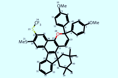 COc1ccc(C2(c3ccc(OC)cc3)C=Cc3c4c(c5cc(SC)c(SC(F)(F)F)cc5c3O2)-c2ccccc2C42CC(C)(C)CC(C)(C)C2)cc1